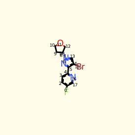 Fc1ccc(-c2nn([C@@H]3CCOC3)cc2Br)nc1